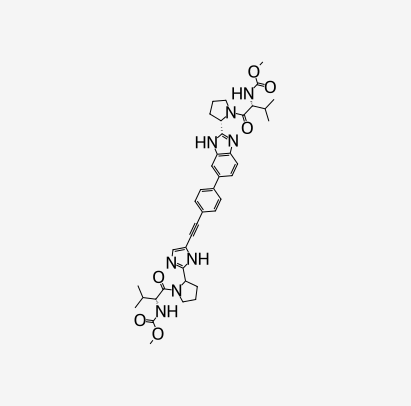 COC(=O)N[C@@H](C(=O)N1CCCC1c1ncc(C#Cc2ccc(-c3ccc4nc([C@@H]5CCCN5C(=O)[C@H](NC(=O)OC)C(C)C)[nH]c4c3)cc2)[nH]1)C(C)C